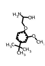 COc1cc(C(C)(C)C)ccc1OCC(N)O